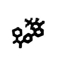 CN(C(=O)c1ccc(-c2cccn3c(=O)c(Br)c(C(F)(F)F)nc23)cc1)C1CCOCC1